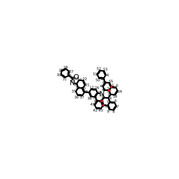 C1=CCC(C2c3ccccc3C=CC2N(c2ccc(C3=C4C=CC5OC(c6ccccc6)=NC5C4CC=C3)cc2-c2ccccc2)C2C=C(c3ccccc3)C=CC2)C=C1